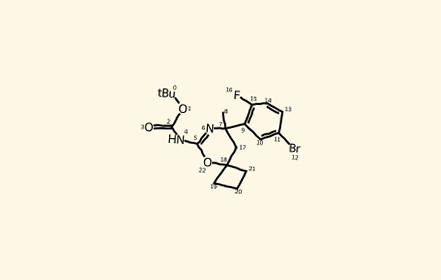 CC(C)(C)OC(=O)NC1=NC(C)(c2cc(Br)ccc2F)CC2(CCC2)O1